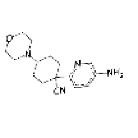 N#CC1(c2ccc(N)cn2)CCC(N2CCOCC2)CC1